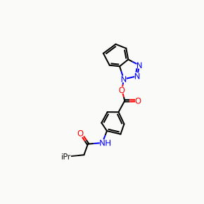 CC(C)CC(=O)Nc1ccc(C(=O)On2nnc3ccccc32)cc1